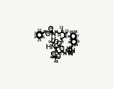 CC(=O)NC1C(OCCCC(C)C(C)CCNC(=O)OCc2ccccc2)OC(Cn2cc(-c3ccc4ccccc4c3)nn2)C2OC(C)(C)OC12